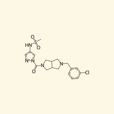 CS(=O)(=O)Nc1cnn(C(=O)N2CC3CN(Cc4cccc(Cl)c4)CC3C2)c1